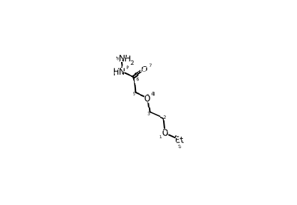 CCOCCOCC(=O)NN